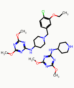 CCOc1cc(CN2CCC(Nc3nc(OC)nc(OC)n3)CC2)ccc1Cl.COc1nc(NC2CCNCC2)nc(OC)n1